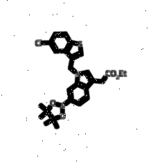 CCOC(=O)Cc1cn(Cc2csc3ccc(Cl)cc23)c2cc(B3OC(C)(C)C(C)(C)O3)ccc12